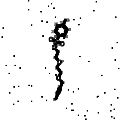 CC#CCOCCOCCOS(=O)(=O)c1ccc(C)cc1